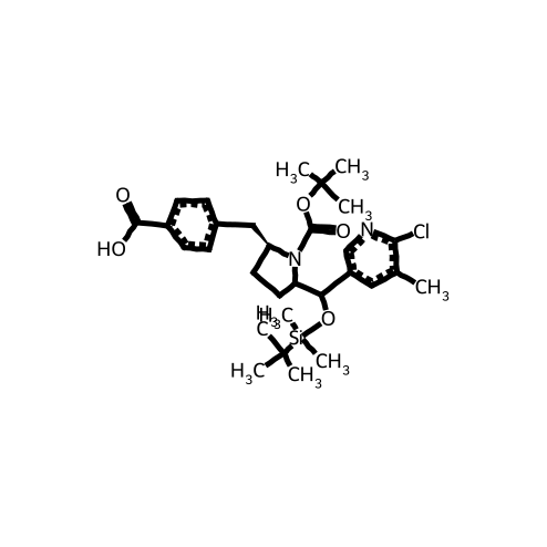 Cc1cc(C(O[Si](C)(C)C(C)(C)C)C2CC[C@@H](Cc3ccc(C(=O)O)cc3)N2C(=O)OC(C)(C)C)cnc1Cl